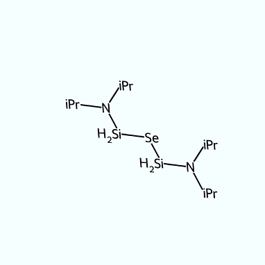 CC(C)N([SiH2][Se][SiH2]N(C(C)C)C(C)C)C(C)C